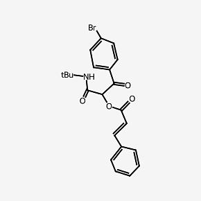 CC(C)(C)NC(=O)C(OC(=O)C=Cc1ccccc1)C(=O)c1ccc(Br)cc1